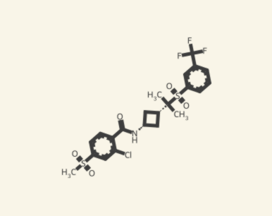 CC(C)([C@H]1C[C@@H](NC(=O)c2ccc(S(C)(=O)=O)cc2Cl)C1)S(=O)(=O)c1cccc(C(F)(F)F)c1